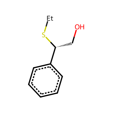 CCS[C@H](CO)c1ccccc1